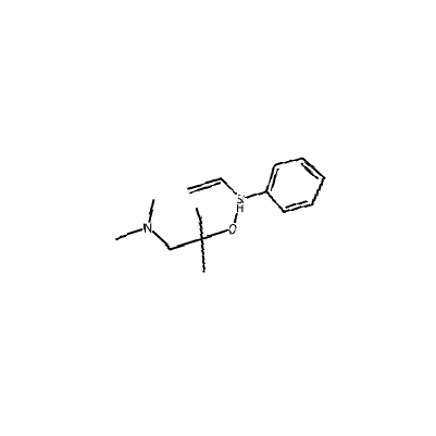 C=C[SiH](OC(C)(C)CN(C)C)c1ccccc1